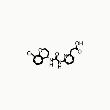 O=C(O)Cc1cccc(NC(=O)N[C@H]2CCOc3c(Cl)cccc32)n1